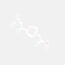 O=C(Cc1ccc(C(=O)C[N+](=O)[O-])cc1)NCl